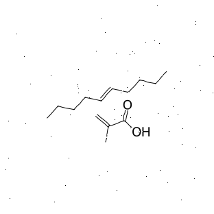 C=C(C)C(=O)O.CCCCC=CCCCC